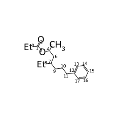 CCC(=O)OC(C)CC(CC)CCCc1ccccc1